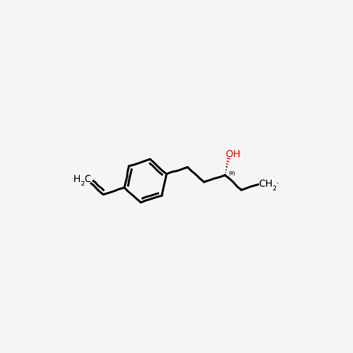 [CH2]C[C@@H](O)CCc1ccc(C=C)cc1